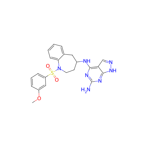 COc1cccc(S(=O)(=O)N2CCC(Nc3nc(N)nc4[nH]ncc34)Cc3ccccc32)c1